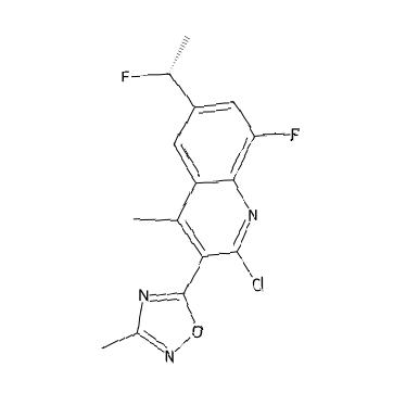 Cc1noc(-c2c(Cl)nc3c(F)cc([C@@H](C)F)cc3c2C)n1